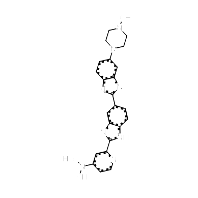 CN1CCN(c2ccc3[nH]c(-c4ccc5[nH]c(-c6cc(N(C)C)ccn6)nc5c4)nc3c2)CC1